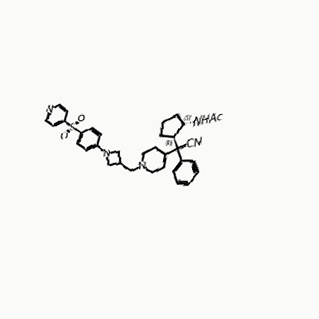 CC(=O)N[C@H]1CCC[C@@H]1C(C#N)(c1ccccc1)C1CCN(CC2CN(c3ccc(S(=O)(=O)c4ccncc4)cc3)C2)CC1